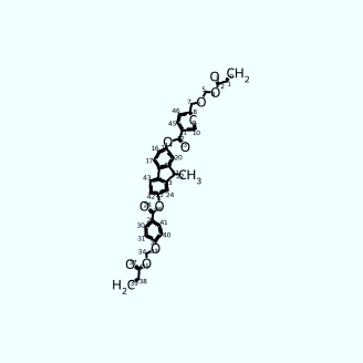 C=CC(=O)OCOCc1ccc(C(=O)Oc2ccc3c(c2)C(C)c2cc(OC(=O)c4ccc(OCOC(=O)C=C)cc4)ccc2-3)cc1